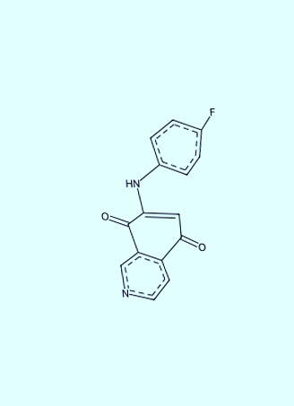 O=C1C=C(Nc2ccc(F)cc2)C(=O)c2cnccc21